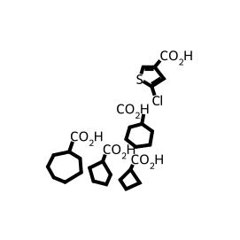 O=C(O)C1CCC1.O=C(O)C1CCCC1.O=C(O)C1CCCCC1.O=C(O)C1CCCCCC1.O=C(O)c1csc(Cl)c1